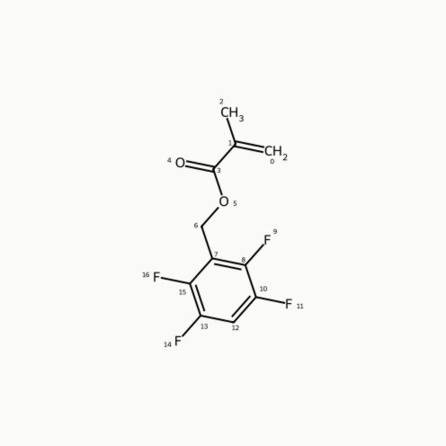 C=C(C)C(=O)OCc1c(F)c(F)cc(F)c1F